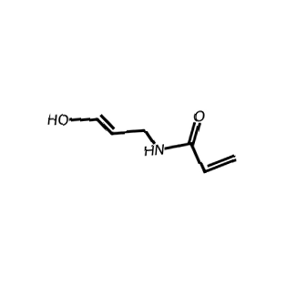 C=CC(=O)NCC=CO